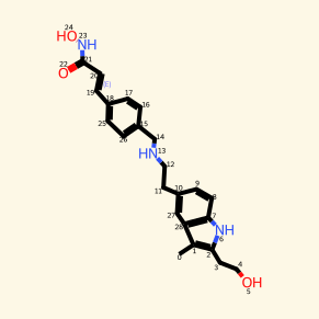 Cc1c(CCO)[nH]c2ccc(CCNCc3ccc(/C=C/C(=O)NO)cc3)cc12